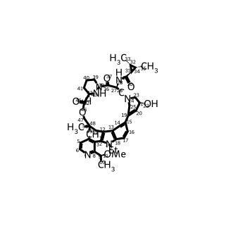 CCn1c(-c2cccnc2[C@H](C)OC)c2c3cc(ccc31)C1=C[C@@H](O)CN(C1)C[C@H](NC(=O)[C@H]1[C@H](C)[C@@H]1C)C(=O)N1CCC[C@H](N1)C(=O)OCC(C)(C)C2